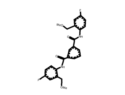 COCc1cc(F)ccc1NC(=O)c1cccc(C(=O)Nc2ccc(F)cc2COC)c1